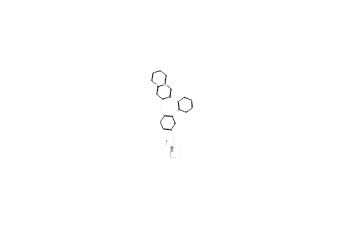 CCN(CC)Cc1ccc2c(c1)-c1ccccc1-c1cc3ccccc3cc1C2